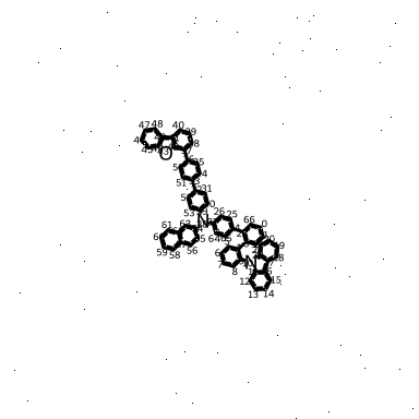 c1ccc(-c2ccccc2-n2c3ccccc3c3ccccc32)c(-c2ccc(N(c3ccc(-c4ccc(-c5cccc6c5oc5ccccc56)cc4)cc3)c3ccc4ccccc4c3)cc2)c1